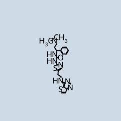 CN(C)CCC(NC(=O)Nc1ncc(CCNc2ncnc3ccsc23)s1)c1ccccc1